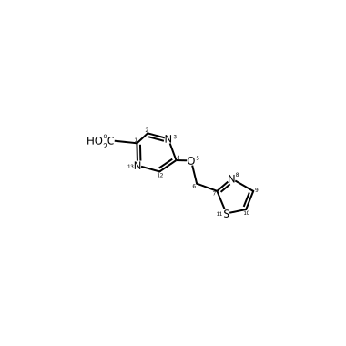 O=C(O)c1cnc(OCc2nccs2)cn1